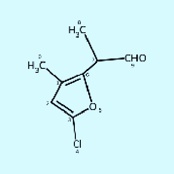 Cc1cc(Cl)oc1C(C)C=O